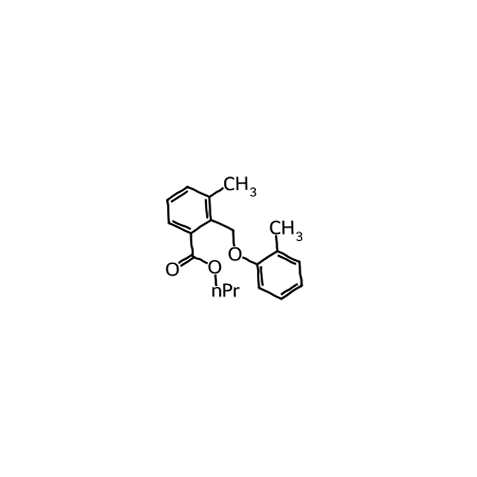 CCCOC(=O)c1cccc(C)c1COc1ccccc1C